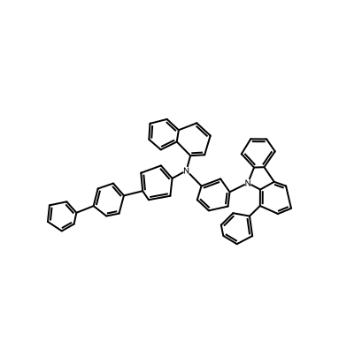 c1ccc(-c2ccc(-c3ccc(N(c4cccc(-n5c6ccccc6c6cccc(-c7ccccc7)c65)c4)c4cccc5ccccc45)cc3)cc2)cc1